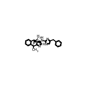 CC12CC(C)(C(=O)Nc3nc(Cc4ccccc4)c[nH]3)C(c3ccccc31)n1ccnc12